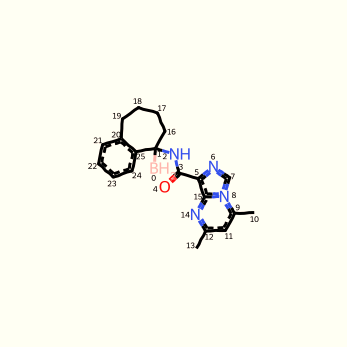 BC1(NC(=O)c2ncn3c(C)cc(C)nc23)CCCCc2ccccc21